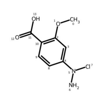 COc1cc(N(N)Cl)ccc1C(=O)O